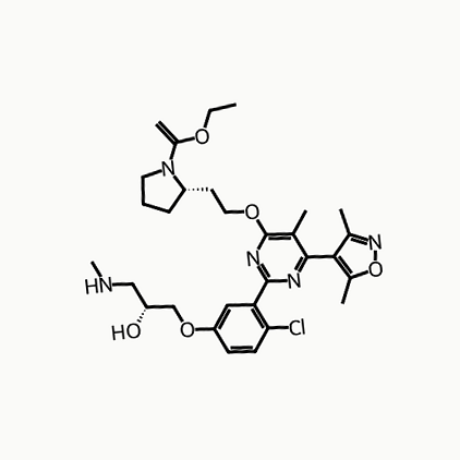 C=C(OCC)N1CCC[C@H]1CCOc1nc(-c2cc(OC[C@H](O)CNC)ccc2Cl)nc(-c2c(C)noc2C)c1C